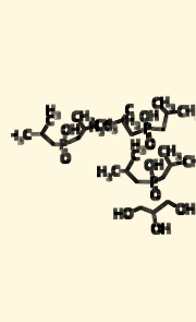 CC(C)CP(=O)(O)CC(C)C.CC(C)CP(=O)(O)CC(C)C.CC(C)CP(=O)(O)CC(C)C.OCC(O)CO